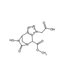 COC(=O)C1c2c(cnn2CC(=O)O)C2CN1C(=O)N2O